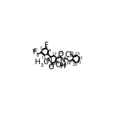 Cn1c(-c2cc(F)cc(CF)c2)cc(C(=O)NCCc2ccccc2Cl)c(O)c1=O